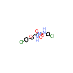 O=C(CN1C(=O)N/C(=C\c2ccc(-c3ccc(Cl)cc3)o2)C1=O)Nc1ccc(Cl)cc1